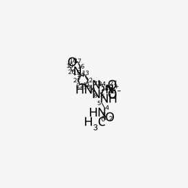 CC(=O)NCCNc1nc(Nc2ccc(N3CCOCC3)cc2)ncc1[N+](=O)[O-]